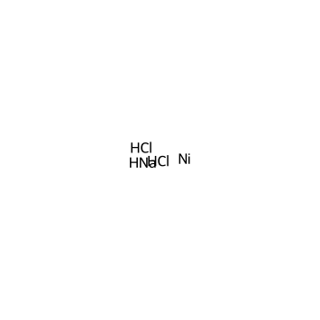 Cl.Cl.[NaH].[Ni]